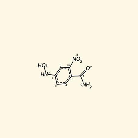 NC(=O)c1ccc(NO)cc1[N+](=O)[O-]